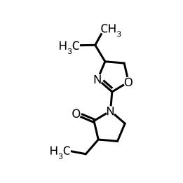 CCC1CCN(C2=NC(C(C)C)CO2)C1=O